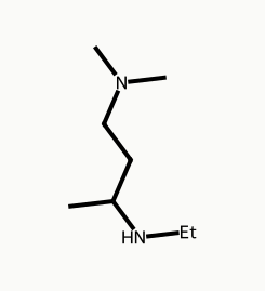 CCNC(C)CCN(C)C